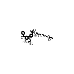 C=CC(=O)OCCCCOCC(O)COC(=O)C(=O)c1ccc2c(c1)c1cc(C(=O)c3ccccc3)ccc1n2CC(CC)CCCC